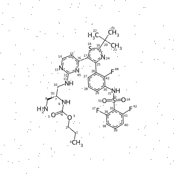 CCCOC(=O)N[C@@H](CN)CNc1nccc(-c2sc(C(C)(C)C)nc2-c2cccc(NS(=O)(=O)c3c(F)cccc3F)c2F)n1